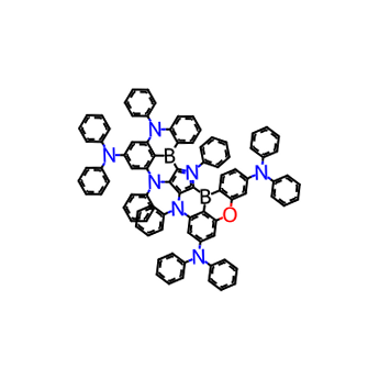 c1ccc(N(c2ccccc2)c2ccc3c(c2)Oc2cc(N(c4ccccc4)c4ccccc4)cc4c2B3c2c(c3c(n2-c2ccccc2)B2c5ccccc5N(c5ccccc5)c5cc(N(c6ccccc6)c6ccccc6)cc(c52)N3c2ccccc2)N4c2ccccc2)cc1